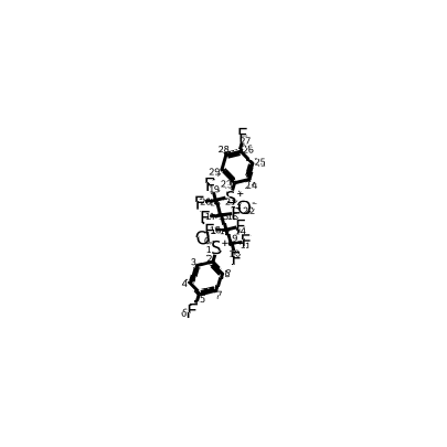 [O-][S+](c1ccc(F)cc1)C(F)(F)C(F)(F)C(F)(F)C(F)(F)[S+]([O-])c1ccc(F)cc1